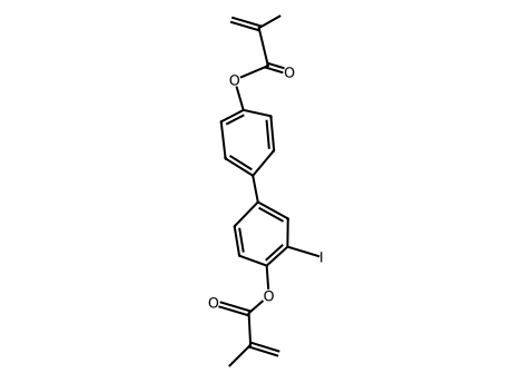 C=C(C)C(=O)Oc1ccc(-c2ccc(OC(=O)C(=C)C)c(I)c2)cc1